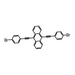 Brc1ccc(C#Cc2c3ccccc3c(C#Cc3ccc(Br)cc3)c3ccccc23)cc1